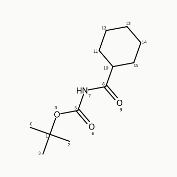 CC(C)(C)OC(=O)NC(=O)C1CCCCC1